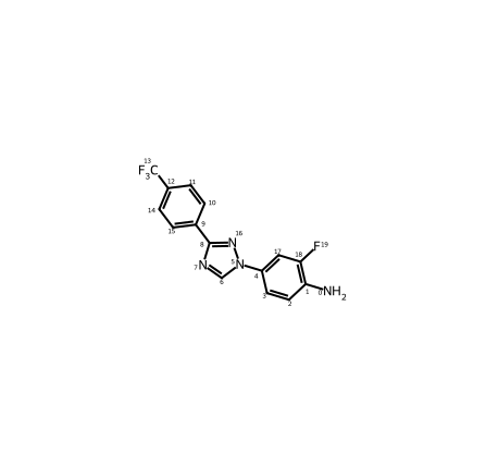 Nc1ccc(-n2cnc(-c3ccc(C(F)(F)F)cc3)n2)cc1F